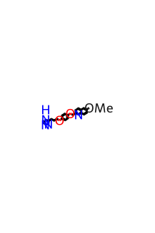 COc1ccc2nc(COc3ccc(OCCCc4nnc[nH]4)cc3)ccc2c1